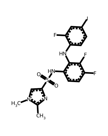 Cc1nc(S(=O)(=O)Nc2ccc(F)c(F)c2Nc2ccc(I)cc2F)cn1C